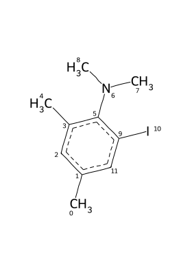 Cc1cc(C)c(N(C)C)c(I)c1